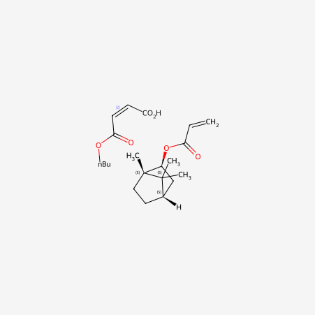 C=CC(=O)O[C@H]1C[C@@H]2CC[C@@]1(C)C2(C)C.CCCCOC(=O)/C=C\C(=O)O